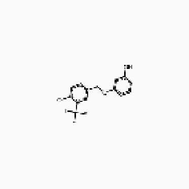 Oc1cccc(OCc2ccc(Cl)c(C(F)(F)F)c2)c1